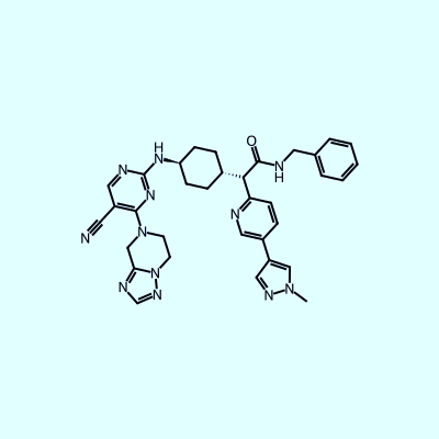 Cn1cc(-c2ccc(C(C(=O)NCc3ccccc3)[C@H]3CC[C@H](Nc4ncc(C#N)c(N5CCn6ncnc6C5)n4)CC3)nc2)cn1